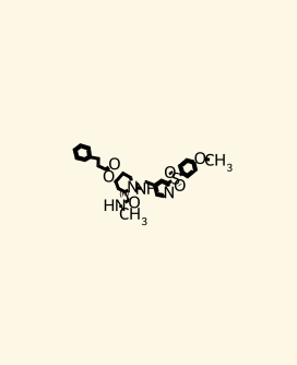 CNC(=O)[C@H]1CC(OC(=O)CCc2ccccc2)CCN1NCc1ccnc(S(=O)(=O)c2ccc(OC)cc2)c1